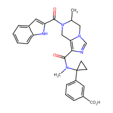 CC1Cn2cnc(C(=O)N(C)C3(c4cccc(C(=O)O)c4)CC3)c2CN1C(=O)c1cc2ccccc2[nH]1